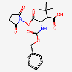 CC(C)(C)C(C(=O)O)[C@H](NC(=O)OCc1ccccc1)C(=O)ON1C(=O)CCC1=O